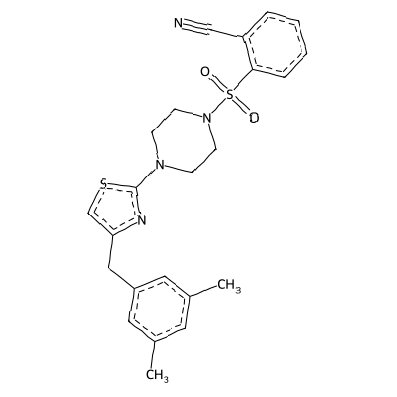 Cc1cc(C)cc(Cc2csc(N3CCN(S(=O)(=O)c4ccccc4C#N)CC3)n2)c1